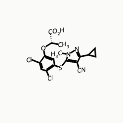 C[C@H](Oc1cc(Sc2c(C#N)c(C3CC3)nn2C)c(Cl)cc1Cl)C(=O)O